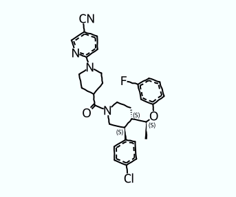 C[C@H](Oc1cccc(F)c1)[C@H]1CCN(C(=O)C2CCN(c3ccc(C#N)cn3)CC2)C[C@@H]1c1ccc(Cl)cc1